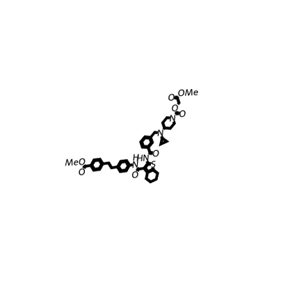 COC(=O)COC(=O)N1CCC(N(Cc2cccc(C(=O)Nc3sc4c(c3C(=O)Nc3ccc(CCc5ccc(C(=O)OC)cc5)cc3)CCCC4)c2)C2CC2)CC1